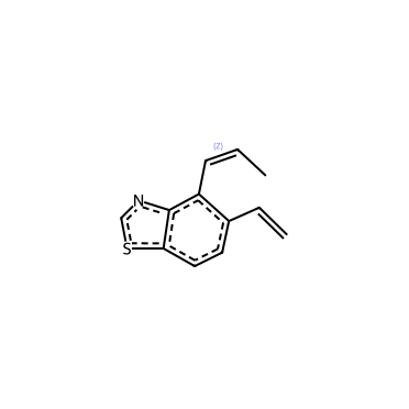 C=Cc1ccc2scnc2c1/C=C\C